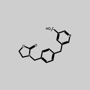 O=C(O)c1cncc(Cc2ccc(CN3CCOC3=O)cc2)c1